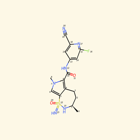 C[C@@H]1CCc2c(cn(C)c2C(=O)Nc2cc(F)nc(C#N)c2)S(=N)(=O)N1